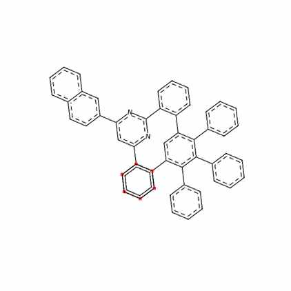 c1ccc(-c2cc(-c3ccc4ccccc4c3)nc(-c3ccccc3-c3cc(-c4ccccc4)c(-c4ccccc4)c(-c4ccccc4)c3-c3ccccc3)n2)cc1